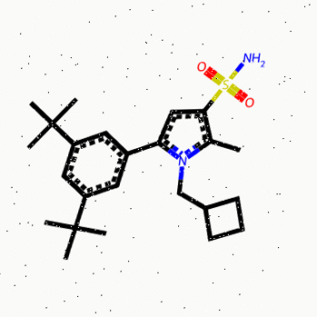 Cc1c(S(N)(=O)=O)cc(-c2cc(C(C)(C)C)cc(C(C)(C)C)c2)n1CC1CCC1